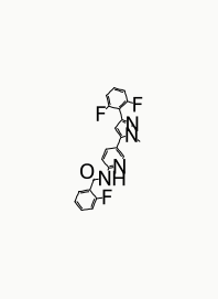 Cn1nc(-c2c(F)cccc2F)cc1-c1ccc(NC(=O)c2ccccc2F)nc1